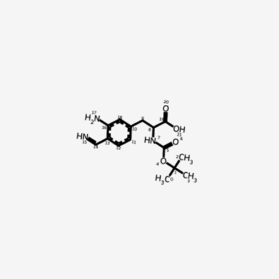 CC(C)(C)OC(=O)NC(Cc1ccc(C=N)c(N)c1)C(=O)O